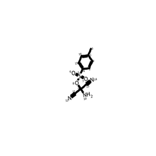 Cc1ccc(S(=O)(=O)OC(N)(C#N)C#N)cc1